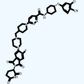 N#Cc1ccc(O[C@H]2CC[C@H](NC(=O)c3ccc(N4CCC(CN5CCN(c6cc7c(cc6F)C(=O)N([C@@H]6CCC(=O)NC6=O)C7=O)CC5)CC4)nn3)CC2)cc1Cl